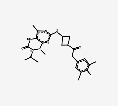 Cc1nc(NC2CN(C(=O)Cc3cc(F)c(F)c(F)c3)C2)nc2c1NC(=O)[C@H](C(C)C)N2C